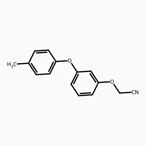 Cc1ccc(Oc2cccc(OCC#N)c2)cc1